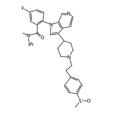 CC(C)N(C)C(=O)c1cc(F)ccc1-n1cc(C2CCN(CCc3ccc([S+](C)[O-])cc3)CC2)c2ccncc21